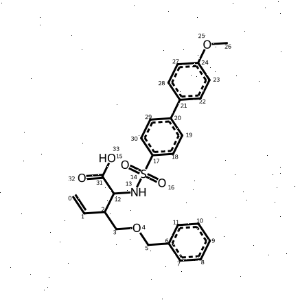 C=CC(COCc1ccccc1)C(NS(=O)(=O)c1ccc(-c2ccc(OC)cc2)cc1)C(=O)O